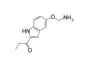 CCC(=O)c1cc2cc(OCN)ccc2[nH]1